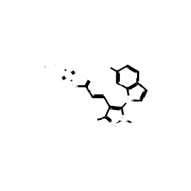 CCCCCS(=O)(=O)NC(=O)C=Cc1c(C)nn(C)c1-n1ccc2ccc(C(F)(F)F)cc21